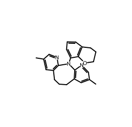 Cc1cnc2c(c1)CCCc1cc(C)cnc1N2c1cccc2c1OCCC2